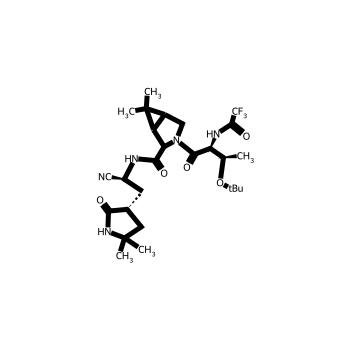 C[C@@H](OC(C)(C)C)[C@H](NC(=O)C(F)(F)F)C(=O)N1CC2C(C1C(=O)N[C@H](C#N)C[C@@H]1CC(C)(C)NC1=O)C2(C)C